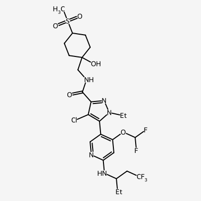 CCC(CC(F)(F)F)Nc1cc(OC(F)F)c(-c2c(Cl)c(C(=O)NCC3(O)CCC(S(C)(=O)=O)CC3)nn2CC)cn1